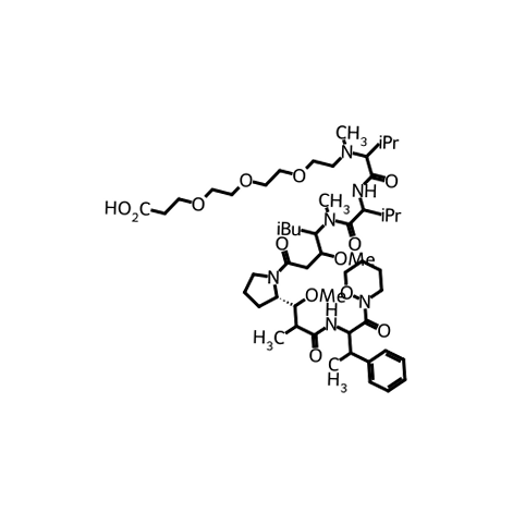 CCC(C)C(C(CC(=O)N1CCC[C@H]1C(OC)C(C)C(=O)NC(C(=O)N1CCCCO1)C(C)c1ccccc1)OC)N(C)C(=O)C(NC(=O)C(C(C)C)N(C)CCOCCOCCOCCC(=O)O)C(C)C